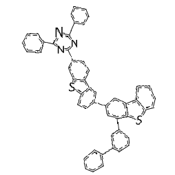 c1ccc(-c2cccc(-c3cc(-c4ccc5sc6cc(-c7nc(-c8ccccc8)nc(-c8ccccc8)n7)ccc6c5c4)cc4c3sc3ccccc34)c2)cc1